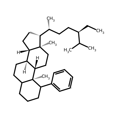 CC[C@H](CC[C@@H](C)[C@H]1CC[C@H]2[C@@H]3CCC4CCCC(c5c[c]ccc5)[C@]4(C)[C@H]3CC[C@]12C)C(C)C